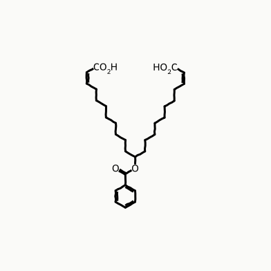 O=C(O)/C=C\CCCCCCCCC(CCCCCCCC/C=C\C(=O)O)OC(=O)c1ccccc1